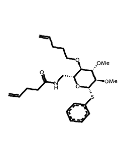 C=CCCCO[C@H]1[C@H](OC)[C@@H](OC)[C@H](Sc2ccccc2)O[C@@H]1CNC(=O)CCC=C